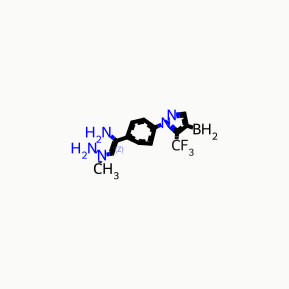 Bc1cnn(-c2ccc(/C(N)=C/N(C)N)cc2)c1C(F)(F)F